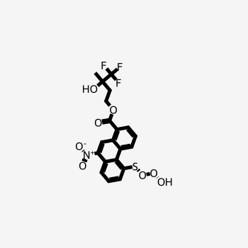 CC(O)(CCOC(=O)c1cccc2c1cc([N+](=O)[O-])c1cccc(SOOO)c12)C(F)(F)F